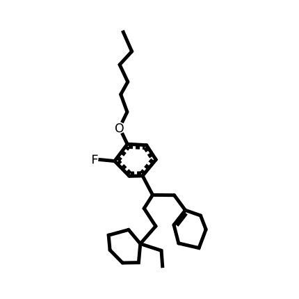 CCCCCCOc1ccc(C(CCC2(CC)CCCCC2)CC2=CCCCC2)cc1F